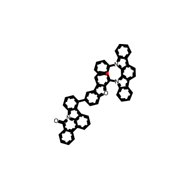 O=c1c2ccccc2c2cccc3c4c(-c5ccc6oc7c(-n8c9ccccc9c9ccc%10c%11ccccc%11n(-c%11ccccc%11)c%10c98)cccc7c6c5)cccc4n1c23